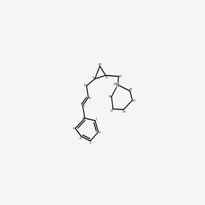 C(=Cc1ccccc1)CC1CC1CN1CCCCC1